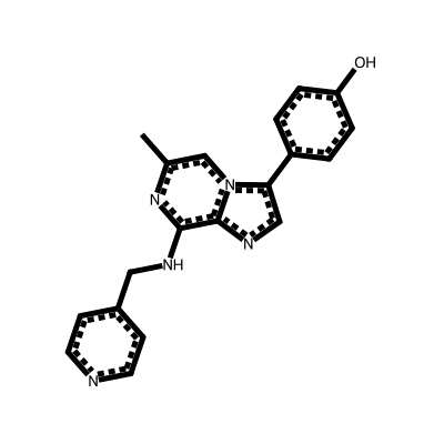 Cc1cn2c(-c3ccc(O)cc3)cnc2c(NCc2ccncc2)n1